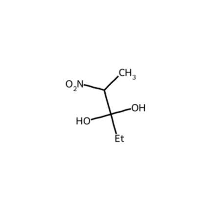 CCC(O)(O)C(C)[N+](=O)[O-]